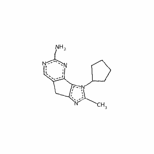 Cc1nc2c(n1C1CCCC1)-c1nc(N)ncc1C2